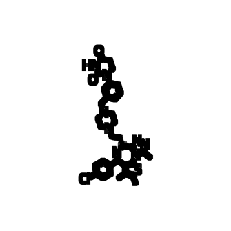 Cc1sc2c(c1C)C(c1ccc(Cl)cc1)=N[C@@H](CCN1CCN(Cc3cccc(N4CCC(=O)NC4=O)c3)CC1)c1nnc(C)n1-2